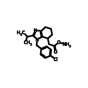 CC(C)c1nc2c(n1Cc1ccc(Cl)cc1)C(CC(=O)ON)CCC2